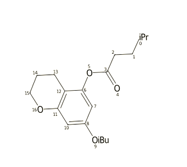 CC(C)CCC(=O)Oc1cc(OCC(C)C)cc2c1CCCO2